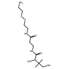 CC(C)(CO)C(O)C(=O)NCCC(=O)NCCSSCCN